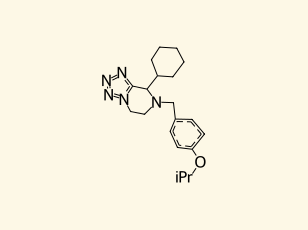 CC(C)Oc1ccc(CN2CCn3nnnc3C2C2CCCCC2)cc1